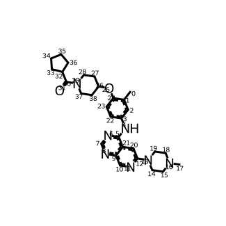 Cc1cc(Nc2ncnc3cnc(N4CCN(C)CC4)cc23)ccc1OC1CCN(C(=O)C2CCCC2)CC1